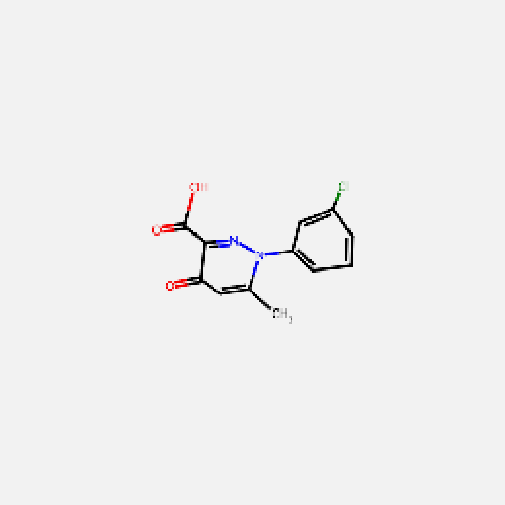 Cc1cc(=O)c(C(=O)O)nn1-c1cccc(Cl)c1